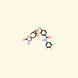 C[C@H]1CC2C[C@@]3(CNC(=O)O3)CC1[C@@H]2S(=O)(=O)c1cc(C(=O)Nc2cc(F)c(F)c(F)c2)ccc1Cl